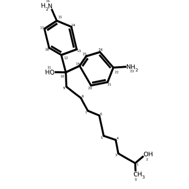 CC(O)CCCCCCCC(O)(c1ccc(N)cc1)c1ccc(N)cc1